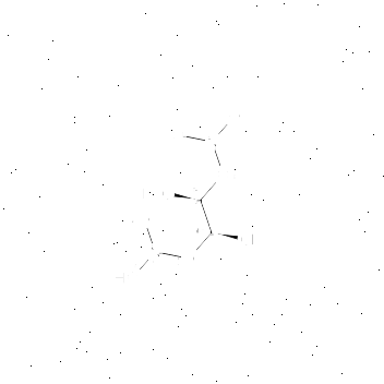 C[C@@H](ON(O)O)[C@@H](C)ON(O)O